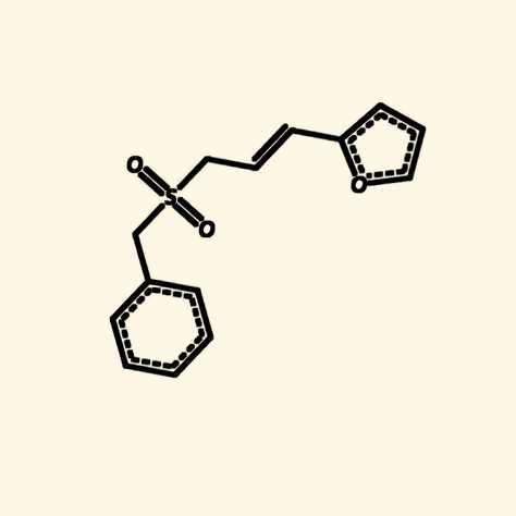 O=S(=O)(C/C=C/c1ccco1)Cc1ccccc1